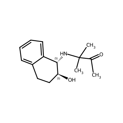 CC(=O)C(C)(C)N[C@H]1c2ccccc2CC[C@@H]1O